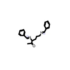 CC(=O)C(CCC/N=C/c1ccccc1)/N=C/c1ccccc1